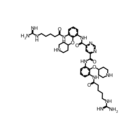 N=C(N)NCCCCC(=O)Nc1cccc(NC(=O)c2cc(C(=O)Nc3cccc(NC(=O)CCCCNC(=N)N)c3OC3CCNCC3)ncn2)c1OC1CCNCC1